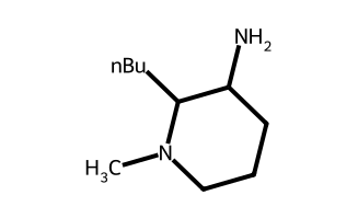 CCCCC1C(N)CCCN1C